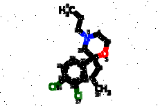 CCCN1CCOC(CCC)(c2ccc(Cl)c(Cl)c2)C1